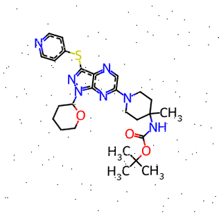 CC1(NC(=O)OC(C)(C)C)CCN(c2cnc3c(Sc4ccncc4)nn(C4CCCCO4)c3n2)CC1